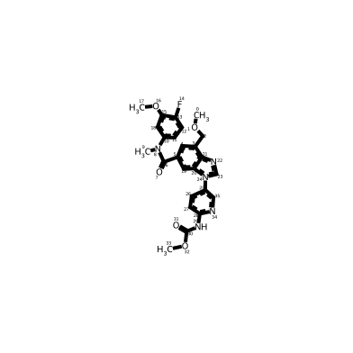 COCc1cc(C(=O)N(C)c2ccc(F)c(OC)c2)cc2c1ncn2-c1ccc(NC(=O)OC)nc1